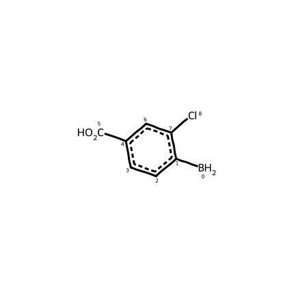 Bc1ccc(C(=O)O)cc1Cl